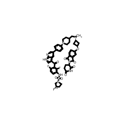 CN(CC1CCN(c2ccc(-c3cnc4[nH]cc(C(=O)c5c(F)ccc(NS(=O)(=O)N6CC[C@@H](F)C6)c5F)c4c3)cc2)CC1)[C@H]1C[C@H](Oc2ccc3c(c2)C(=O)N(C2CCC(=O)NC2=O)C3=O)C1